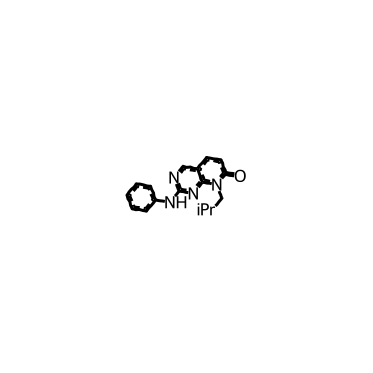 CC(C)Cn1c(=O)ccc2cnc(Nc3ccccc3)nc21